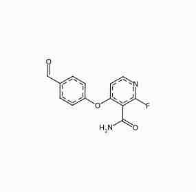 NC(=O)c1c(Oc2ccc(C=O)cc2)ccnc1F